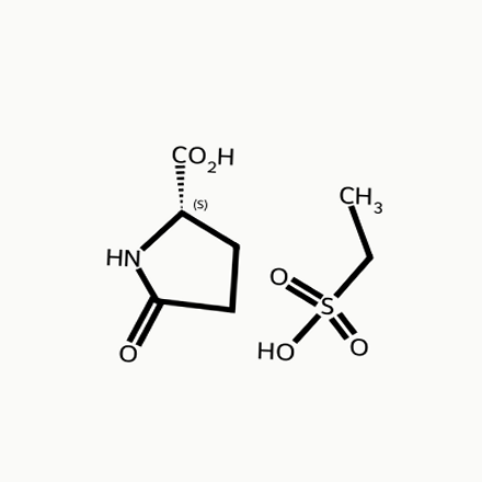 CCS(=O)(=O)O.O=C1CC[C@@H](C(=O)O)N1